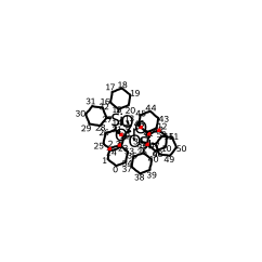 C1CCC([O][Zr]([O]C2CCCCC2)([O][Si](C2CCCCC2)(C2CCCCC2)C2CCCCC2)[O][Si](C2CCCCC2)(C2CCCCC2)C2CCCCC2)CC1